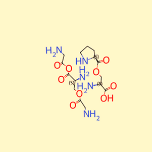 NCC(=O)OC[C@H](N)C(=O)OC(=O)CN.N[C@@H](COC(=O)[C@@H]1CCCN1)C(=O)O